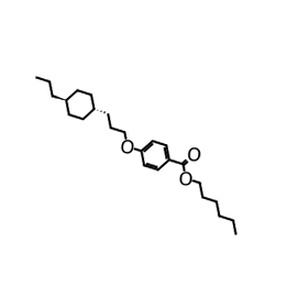 CCCCCCOC(=O)c1ccc(OCCC[C@H]2CC[C@H](CCC)CC2)cc1